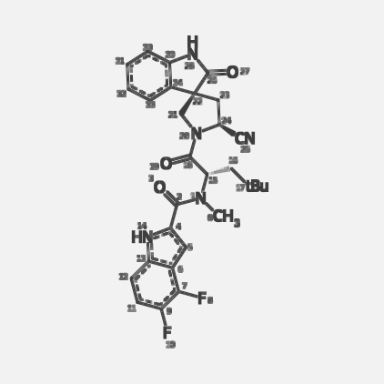 CN(C(=O)c1cc2c(F)c(F)ccc2[nH]1)[C@@H](CC(C)(C)C)C(=O)N1C[C@]2(C[C@H]1C#N)C(=O)Nc1ccccc12